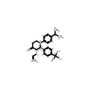 C=CC[C@@H]1C(=O)CCN(c2ccc(C(C)C)cc2)[C@H]1c1ccc(C(F)(F)F)cc1